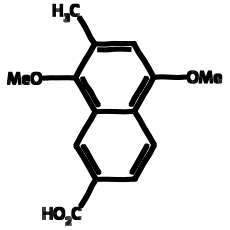 COc1cc(C)c(OC)c2cc(C(=O)O)ccc12